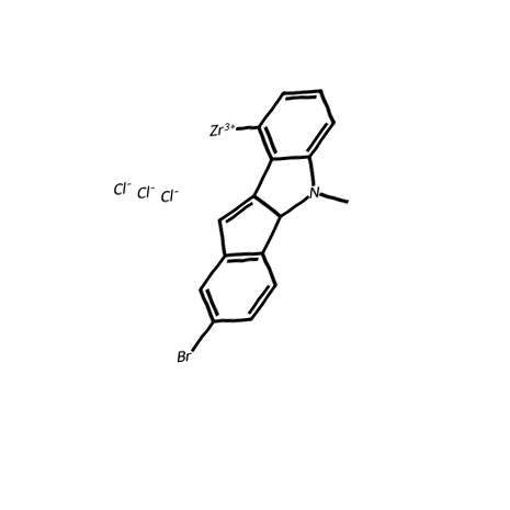 CN1c2ccc[c]([Zr+3])c2C2=Cc3cc(Br)ccc3C21.[Cl-].[Cl-].[Cl-]